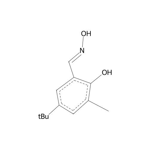 Cc1cc(C(C)(C)C)cc(/C=N/O)c1O